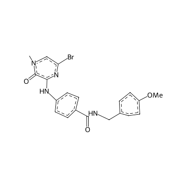 COc1ccc(CNC(=O)c2ccc(Nc3nc(Br)cn(C)c3=O)cc2)cc1